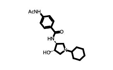 CC(=O)Nc1ccc(C(=O)N[C@@H]2CN(C3CCCCC3)C[C@@H]2O)cc1